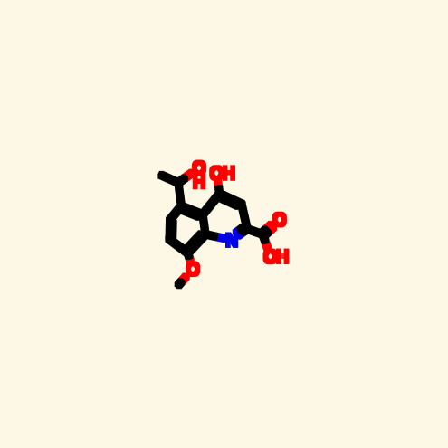 COc1ccc(C(C)O)c2c(O)cc(C(=O)O)nc12